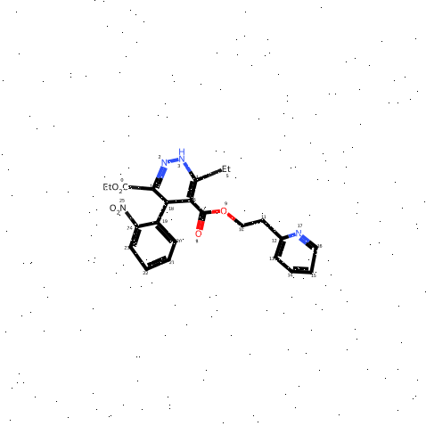 CCOC(=O)C1=NNC(CC)=C(C(=O)OCCc2ccccn2)C1c1ccccc1[N+](=O)[O-]